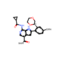 CNC(=O)c1cnc(NC(=O)C2CC2)c2[nH]c(-c3ccc(OC)cc3[C@@H]3COCCO3)cc12